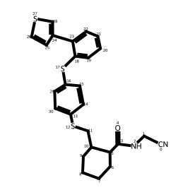 N#CCNC(=O)C1CCCCC1CSc1ccc(Sc2ccccc2-c2ccsc2)cc1